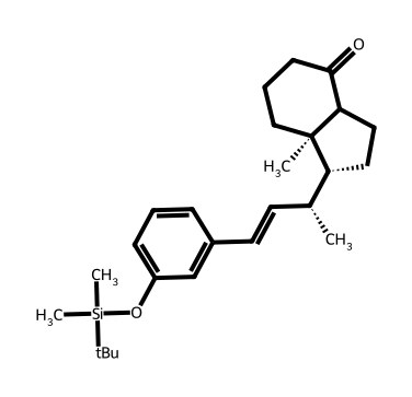 C[C@H](/C=C/c1cccc(O[Si](C)(C)C(C)(C)C)c1)[C@H]1CCC2C(=O)CCC[C@@]21C